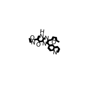 Cc1ccc(-c2nc3[nH]cc(-c4ncco4)c(=O)c3nc2-c2ccc3ncccc3c2)o1